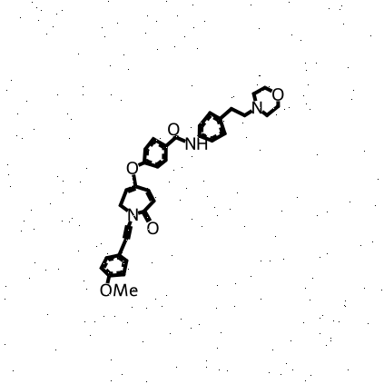 COc1ccc(C#CN2CC=C(Oc3ccc(C(=O)Nc4ccc(CCN5CCOCC5)cc4)cc3)C=CC2=O)cc1